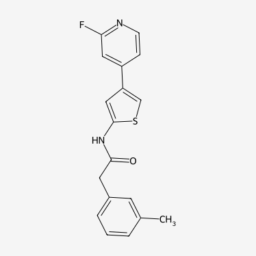 Cc1cccc(CC(=O)Nc2cc(-c3ccnc(F)c3)cs2)c1